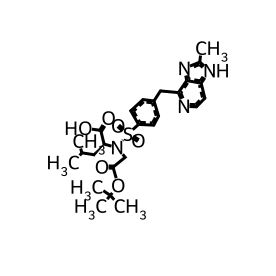 Cc1nc2c(Cc3ccc(S(=O)(=O)N(CC(=O)OC(C)(C)C)[C@@H](CC(C)C)C(=O)O)cc3)nccc2[nH]1